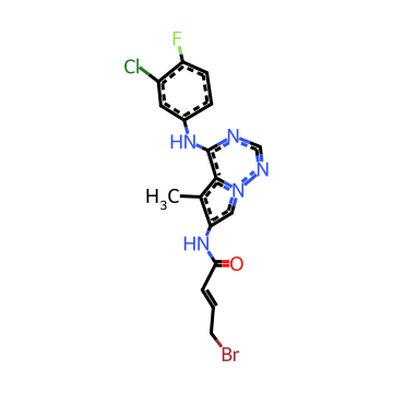 Cc1c(NC(=O)/C=C/CBr)cn2ncnc(Nc3ccc(F)c(Cl)c3)c12